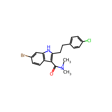 CN(C)C(=O)c1c(CCc2ccc(Cl)cc2)[nH]c2cc(Br)ccc12